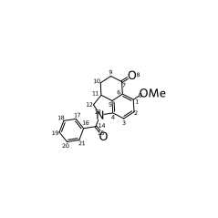 COc1ccc2c3c1C(=O)CCC3CN2C(=O)c1ccccc1